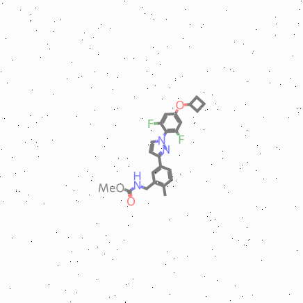 COC(=O)NCc1cc(-c2ccn(-c3c(F)cc(OC4CCC4)cc3F)n2)ccc1C